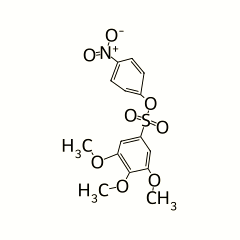 COc1cc(S(=O)(=O)Oc2ccc([N+](=O)[O-])cc2)cc(OC)c1OC